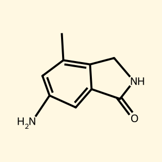 Cc1cc(N)cc2c1CNC2=O